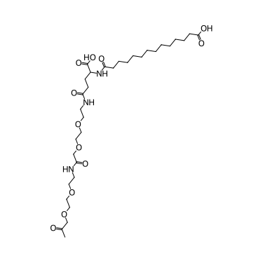 CC(=O)COCCOCCNC(=O)COCCOCCNC(=O)CCC(NC(=O)CCCCCCCCCCCCC(=O)O)C(=O)O